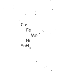 [Cu].[Fe].[Mn].[Ni].[SnH4]